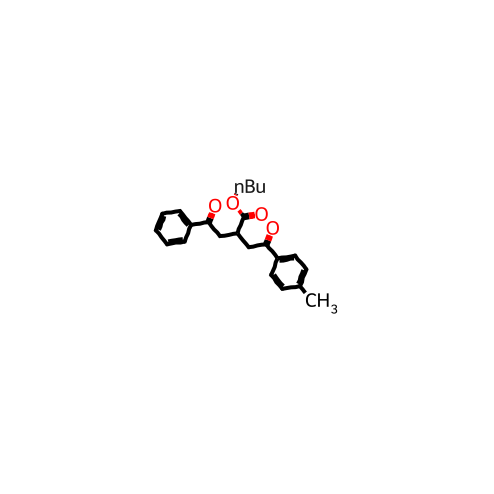 CCCCOC(=O)C(CC(=O)c1ccccc1)CC(=O)c1ccc(C)cc1